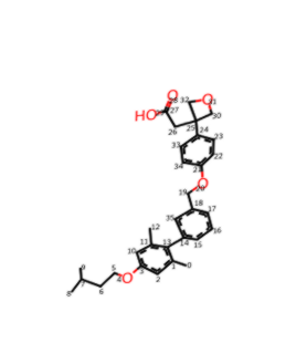 Cc1cc(OCCC(C)C)cc(C)c1-c1cccc(COc2ccc(C3(CC(=O)O)COC3)cc2)c1